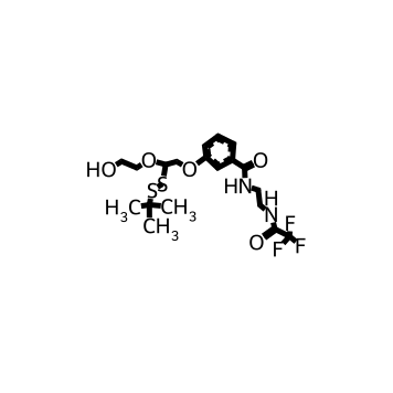 CC(C)(C)SSC(COc1cccc(C(=O)NCCNC(=O)C(F)(F)F)c1)OCCO